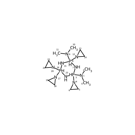 CN(C)[PH]1(N2CC2)N[PH](N(C)C)(N2CC2)N[PH](N2CC2)(N2CC2)N1